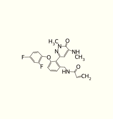 C=CC(=O)NCc1cccc(Oc2ccc(F)cc2F)c1-c1cc(NC)c(=O)n(C)n1